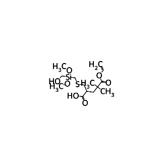 C=COC(=O)C(C)(C)CC(CSC[Si](CO)(OC)OC)C(=O)O